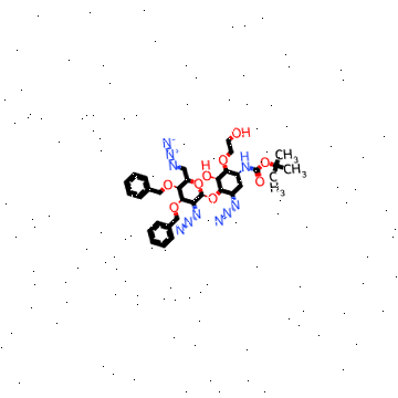 CC(C)(C)OC(=O)N[C@@H]1CC(N=[N+]=[N-])C(O[C@H]2OC(CN=[N+]=[N-])[C@@H](OCc3ccccc3)[C@@H](OCc3ccccc3)C2N=[N+]=[N-])[C@H](O)C1OCCO